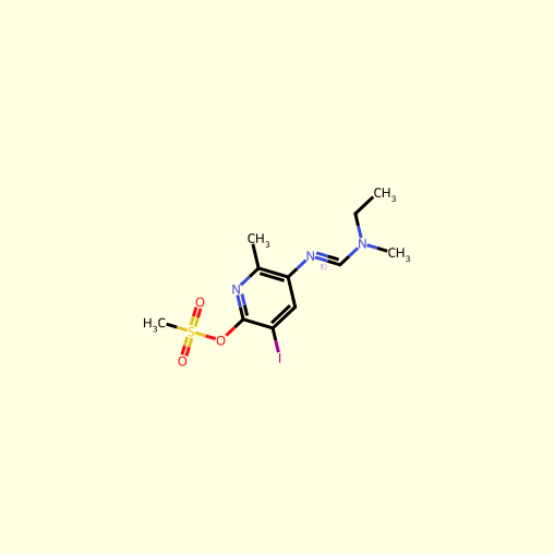 CCN(C)/C=N/c1cc(I)c(OS(C)(=O)=O)nc1C